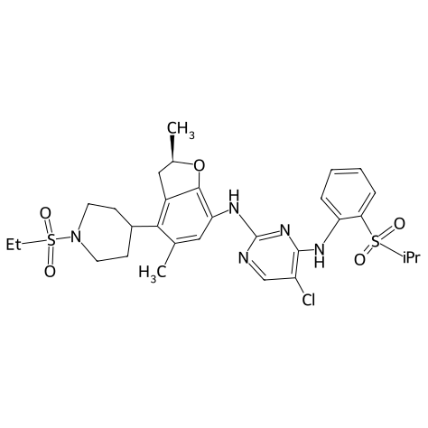 CCS(=O)(=O)N1CCC(c2c(C)cc(Nc3ncc(Cl)c(Nc4ccccc4S(=O)(=O)C(C)C)n3)c3c2C[C@@H](C)O3)CC1